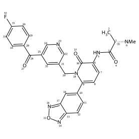 CN[C@@H](C)C(=O)Nc1ccc(-c2ccc3nonc3c2)n(Cc2cncc(C(=O)c3ccc(F)cc3)c2)c1=O